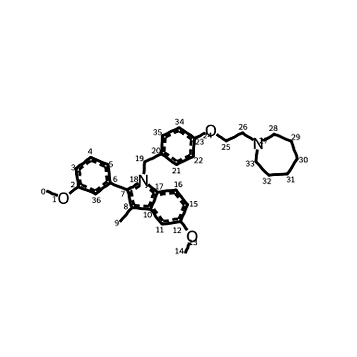 COc1cccc(-c2c(C)c3cc(OC)ccc3n2Cc2ccc(OCCN3CCCCCC3)cc2)c1